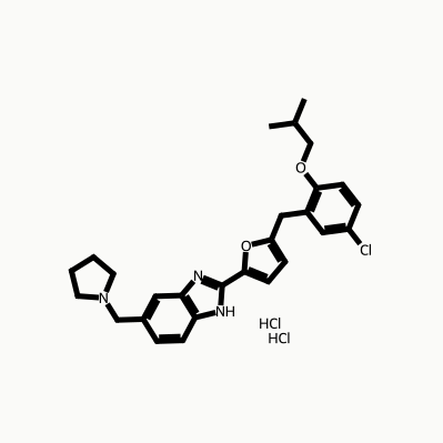 CC(C)COc1ccc(Cl)cc1Cc1ccc(-c2nc3cc(CN4CCCC4)ccc3[nH]2)o1.Cl.Cl